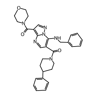 O=C(c1cnc2c(C(=O)N3CCOCC3)cnn2c1NCc1ccccc1)N1CCC(c2ccccc2)CC1